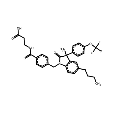 CCCCc1ccc2c(c1)C(N)(c1ccc(OC(F)(F)F)cc1)C(=O)N2Cc1ccc(C(=O)NCCC(=O)O)cc1